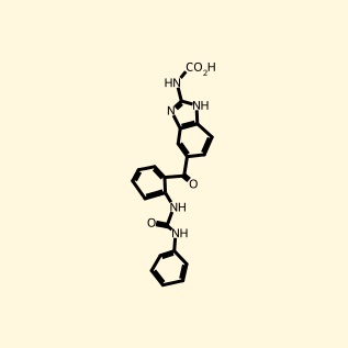 O=C(O)Nc1nc2cc(C(=O)c3ccccc3NC(=O)Nc3ccccc3)ccc2[nH]1